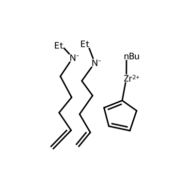 C=CCCC[N-]CC.C=CCCC[N-]CC.CCC[CH2][Zr+2][C]1=CC=CC1